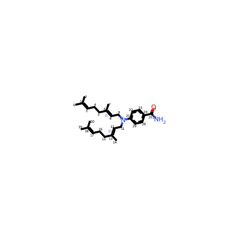 CC(C)=CCC/C(C)=C/CN(C/C=C(\C)CCC=C(C)C)c1ccc(C(N)=O)cc1